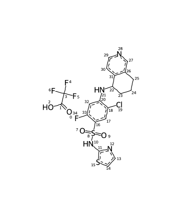 O=C(O)C(F)(F)F.O=S(=O)(Nc1nccs1)c1cc(Cl)c(NC2CCCc3cnccc32)cc1F